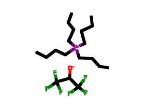 CCCC[P+](CCCC)(CCCC)CCCC.[O-]C(C(F)(F)F)C(F)(F)F